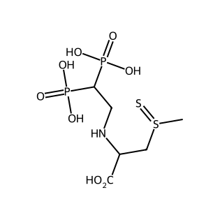 CS(=S)CC(NCC(P(=O)(O)O)P(=O)(O)O)C(=O)O